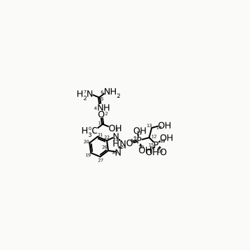 CC(=O)O.N=C(N)N.O=P(O)(O)C(CO)P(=O)(O)O.c1ccc2[nH]nnc2c1